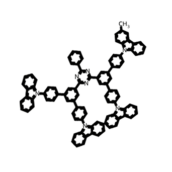 Cc1ccc2c(c1)c1ccccc1n2-c1ccc(-c2cc(-c3ccc(-n4c5ccccc5c5ccccc54)cc3)cc(-c3nc(-c4ccccc4)nc(-c4cc(-c5ccc(-n6c7ccccc7c7ccccc76)cc5)cc(-c5ccc(-n6c7ccccc7c7ccccc76)cc5)c4)n3)c2)cc1